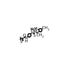 Cc1ccc(C(C)NC(=S)Nc2ccc(NC(=O)c3cscn3)cc2)c(C)c1